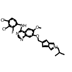 COc1cc2c(Nc3ccc(Cl)c(Cl)c3F)ncnc2cc1OCC1=CC2=C[N+](CC(C)C)=CC2=C1